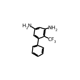 Nc1cc(N)c(C(F)(F)F)c(-c2ccccc2)c1